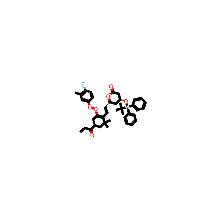 CCC(=O)C1CC(OOc2ccc(F)c(C)c2)=C(C=C[C@H]2C[C@H](O[Si](c3ccccc3)(c3ccccc3)C(C)(C)C)CC(=O)O2)C(C)(C)C1